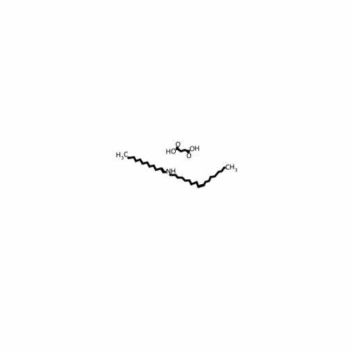 CCCCCCCC/C=C\CCCCCCCCNC=CCCCCCCCCCC.O=C(O)CCC(=O)O